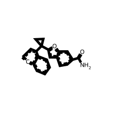 NC(=O)c1ccc2cc(C3(c4cccc5ccccc45)CC3)oc2c1